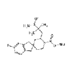 CC(C)(C)OC(=O)N1CCC2(Cc3ccc(F)cc3C2)CC1CC(C)(C)[S@+](N)[O-]